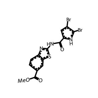 COC(=O)c1ccc2nc(NC(=O)c3cc(Br)c(Br)[nH]3)sc2c1